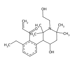 C=CC(=O)c1c(CC)cccc1C1C(O)CC(C)(C)N(CCO)C1(C)C